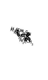 Cc1cncc2c1c(CC1CCN(C[C@H]3CCN(C(=O)OC(C)(C)C)C3)CC1)cn2-c1ccc(F)cc1C(=O)N(C)C(C)C